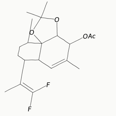 CC(=O)OC1C(C)=CC2C(C(C)=C(F)F)CCC(C)C23OC(C)(C)OC13